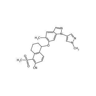 Cc1cc2cnn(-c3cnn(C)c3)c2cc1OC1CCCc2c1ccc(C#N)c2S(C)(=O)=O